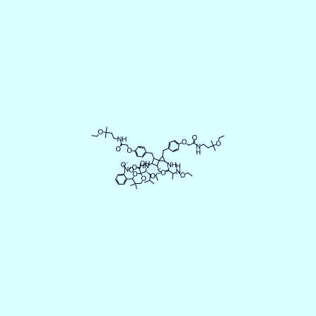 CCONC(C)C(=O)NC1C(Cc2ccc(OCC(=O)NCCC(C)(C)OCC)cc2)C12C(Cc1ccc(OCC(=O)NCCC(C)(C)OCC)cc1)C(N[C@@H](CC(C)C)C1(C(=O)O)OCC(C)(C)C(c3ccccc3[N+](=O)[O-])O1)C2SC(C)=O